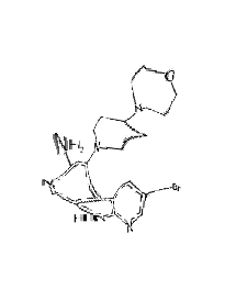 Nc1ncc2[nH]c3ncc(Br)cc3c2c1N1CCC(N2CCOCC2)CC1